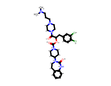 CN(C)CCCN1CCN(C(=O)C(Cc2ccc(Cl)c(Cl)c2)OC(=O)N2CCC(N3CCc4ccccc4NC3=O)CC2)CC1